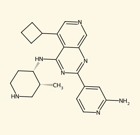 C[C@@H]1CNCC[C@@H]1Nc1nc(-c2ccnc(N)c2)nc2cncc(C3CCC3)c12